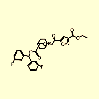 CCOC(=O)c1cc(C(=O)C[N+]23CCC(CC2)C(C(=O)OC(c2cccc(F)c2)c2cccc(F)c2)C3)on1